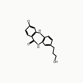 O=C1Nc2cc(CCCO)ccc2Nc2cc(Cl)ccc21